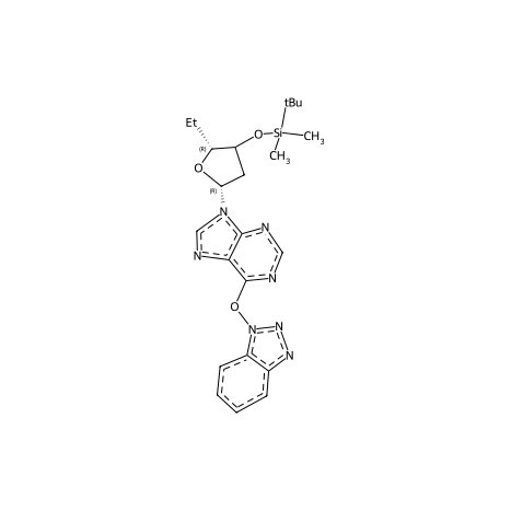 CC[C@H]1O[C@@H](n2cnc3c(On4nnc5ccccc54)ncnc32)CC1O[Si](C)(C)C(C)(C)C